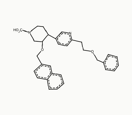 O=C(O)N1CCC(c2ccc(CCOCc3ccccc3)nc2)C(OCc2ccc3ccccc3c2)C1